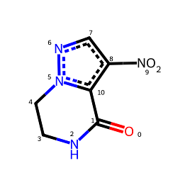 O=C1NCCn2ncc([N+](=O)[O-])c21